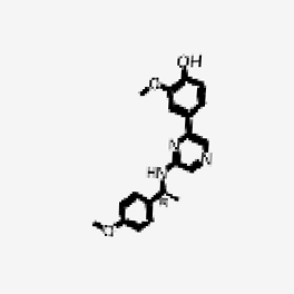 COc1ccc([C@H](C)Nc2cncc(-c3ccc(O)c(OC)c3)n2)cc1